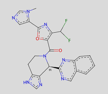 Cn1cncc1-c1nc(C(F)F)c(C(=O)N2CCc3[nH]cnc3[C@@H]2c2ncc3ccccc3n2)o1